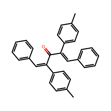 Cc1ccc(C(=Cc2ccccc2)C(=O)C(=Cc2ccccc2)c2ccc(C)cc2)cc1